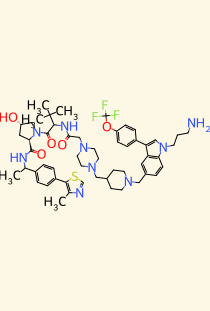 Cc1ncsc1-c1ccc(C(C)NC(=O)[C@H]2C[C@H](O)CN2C(=O)C(NC(=O)CN2CCN(CC3CCN(Cc4ccc5c(c4)c(-c4ccc(OC(F)(F)F)cc4)cn5CCCN)CC3)CC2)C(C)(C)C)cc1